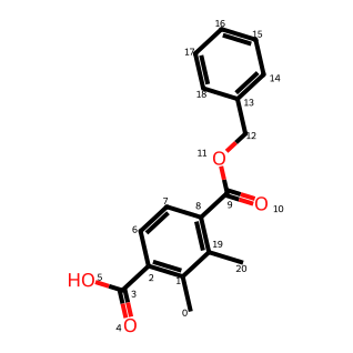 Cc1c(C(=O)O)ccc(C(=O)OCc2ccccc2)c1C